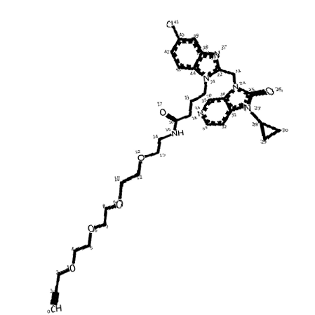 C#CCOCCOCCOCCOCCNC(=O)CCCn1c(Cn2c(=O)n(C3CC3)c3ccncc32)nc2cc(Cl)ccc21